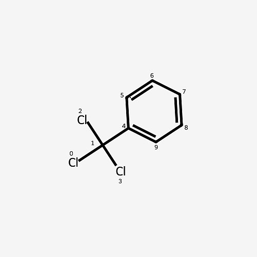 ClC(Cl)(Cl)c1[c]cccc1